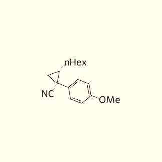 CCCCCC[C@H]1C[C@]1(C#N)c1ccc(OC)cc1